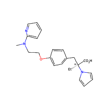 CC[C@](Cc1ccc(OCCN(C)c2ccccn2)cc1)(C(=O)O)n1cccc1